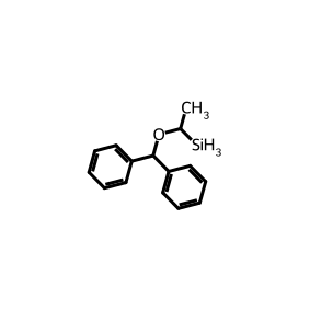 CC([SiH3])OC(c1ccccc1)c1ccccc1